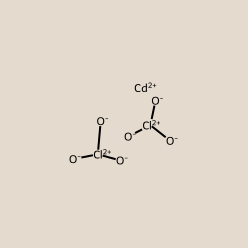 [Cd+2].[O-][Cl+2]([O-])[O-].[O-][Cl+2]([O-])[O-]